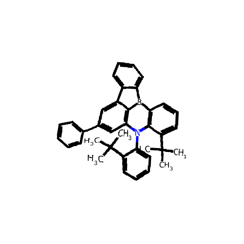 CC(C)(C)c1ccccc1N1c2cc(-c3ccccc3)cc3c2B(c2ccccc2-3)c2cccc(C(C)(C)C)c21